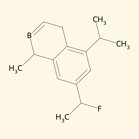 CC(C)c1cc(C(C)F)cc2c1CC=BC2C